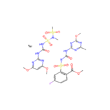 COC(=O)c1ccc(I)cc1S(=O)(=O)[N-]C(=O)Nc1nc(C)nc(OC)n1.COc1cc(OC)nc(NC(=O)NS(=O)(=O)N(C)S(C)(=O)=O)n1.[Na+]